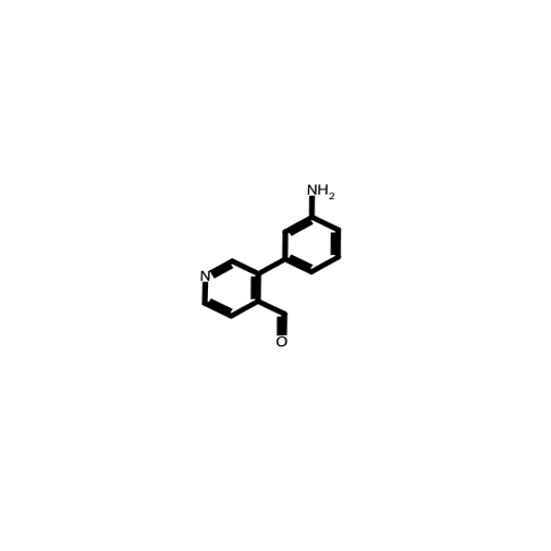 Nc1cccc(-c2cnccc2C=O)c1